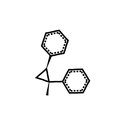 C[C@@]1(c2ccccc2)C[C@H]1c1ccccc1